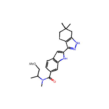 COCC(C)N(C)C(=O)c1ccc2cc(-c3n[nH]c4c3CCC(C)(C)C4)[nH]c2c1